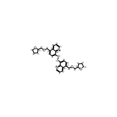 c1cnc2c(SSc3ccc(COCC4CCCO4)c4cccnc34)ccc(COCC3CCCO3)c2c1